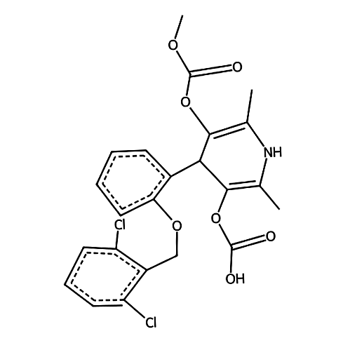 COC(=O)OC1=C(C)NC(C)=C(OC(=O)O)C1c1ccccc1OCc1c(Cl)cccc1Cl